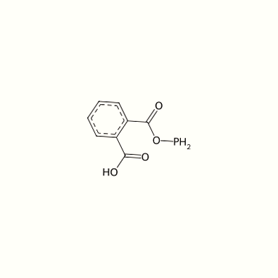 O=C(O)c1ccccc1C(=O)OP